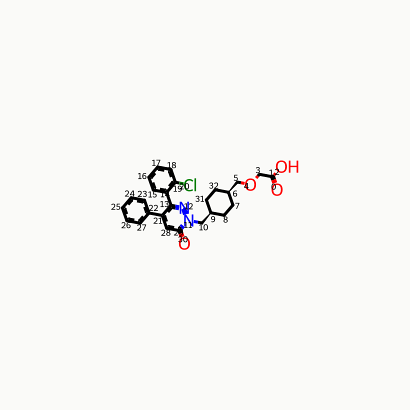 O=C(O)COC[C@H]1CC[C@@H](Cn2nc(-c3ccccc3Cl)c(-c3ccccc3)cc2=O)CC1